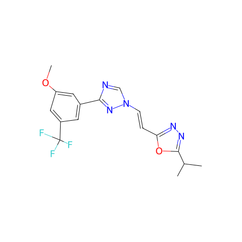 COc1cc(-c2ncn(C=Cc3nnc(C(C)C)o3)n2)cc(C(F)(F)F)c1